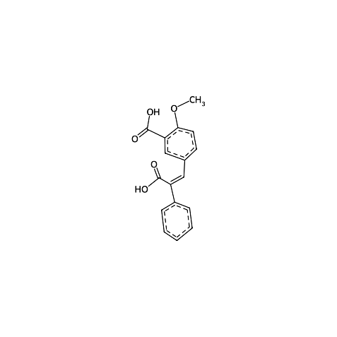 COc1ccc(/C=C(\C(=O)O)c2ccccc2)cc1C(=O)O